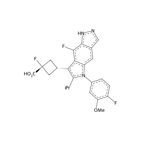 COc1cc(-n2c(C(C)C)c([C@H]3C[C@](F)(C(=O)O)C3)c3c(F)c4[nH]ncc4cc32)ccc1F